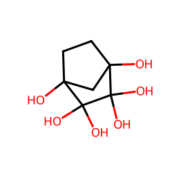 OC12CCC(O)(C1)C(O)(O)C2(O)O